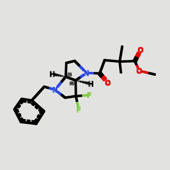 COC(=O)C(C)(C)CC(=O)N1CC[C@H]2[C@@H]1C(F)(F)CN2Cc1ccccc1